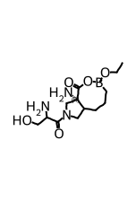 CCOB1CCCC2CN(C(=O)C(N)CO)C[C@@]2(N)C(=O)O1